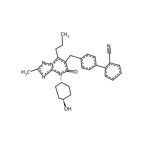 CCCc1c(Cc2ccc(-c3ccccc3C#N)cc2)c(=O)n([C@H]2CC[C@H](O)CC2)c2nc(C)nn12